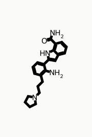 NC(=O)c1cccc2cc(-c3cccc(CCCN4CCCC4)c3N)[nH]c12